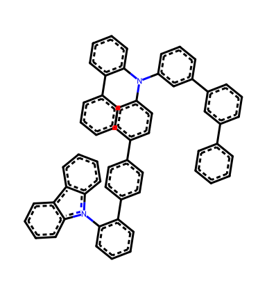 c1ccc(-c2cccc(-c3cccc(N(c4ccc(-c5ccc(-c6ccccc6-n6c7ccccc7c7ccccc76)cc5)cc4)c4ccccc4-c4ccccc4)c3)c2)cc1